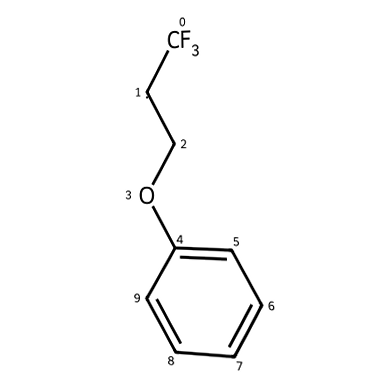 FC(F)(F)[CH]COc1ccccc1